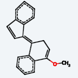 COC1=CCC(=C2C=Cc3ccccc32)c2ccccc21